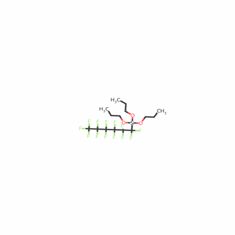 CCCO[Si](OCCC)(OCCC)C(F)(F)C(F)(F)C(F)(F)C(F)(F)C(F)(F)C(F)(F)F